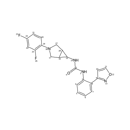 O=C(Nc1ccccc1-c1ccon1)NC1C2CN(c3ccc(F)cc3F)CC21